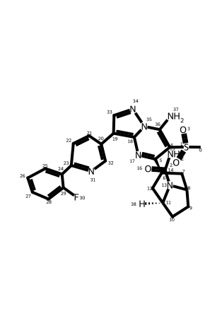 CS(=O)(=O)c1c([C@H]2CC3CC[C@@H](C2)N3C(N)=O)nc2c(-c3ccc(-c4ccccc4F)nc3)cnn2c1N